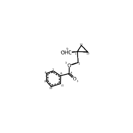 O=CC1(COC(=O)c2ccccc2)CC1